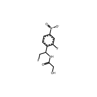 O=C(CO)NC(CF)c1ccc([N+](=O)[O-])cc1F